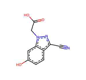 N#Cc1nn(CC(=O)O)c2cc(O)ccc12